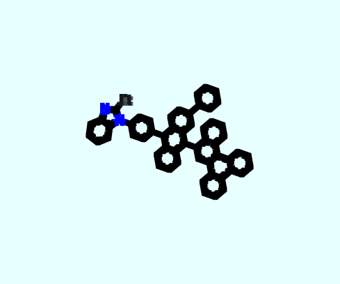 CCc1nc2ccccc2n1-c1ccc(-c2c3ccccc3c(-c3cc4c5ccccc5c5ccccc5c4c4ccccc34)c3cc(-c4ccccc4)ccc23)cc1